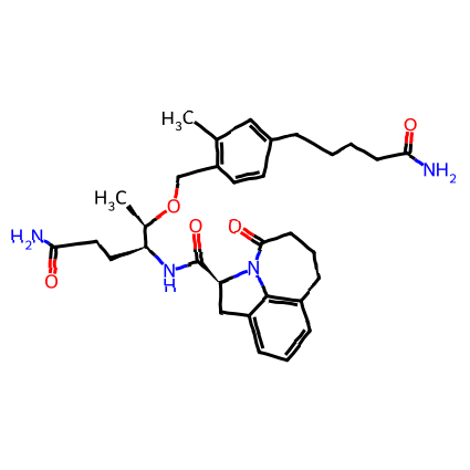 Cc1cc(CCCCC(N)=O)ccc1CO[C@H](C)[C@H](CCC(N)=O)NC(=O)[C@@H]1Cc2cccc3c2N1C(=O)CCC3